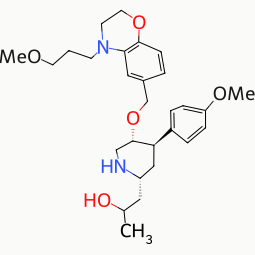 COCCCN1CCOc2ccc(CO[C@H]3CN[C@@H](CC(C)O)C[C@@H]3c3ccc(OC)cc3)cc21